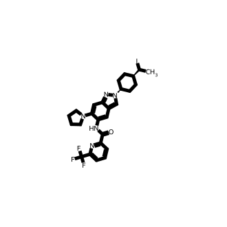 CC(I)[C@H]1CC[C@H](n2cc3cc(NC(=O)c4cccc(C(F)(F)F)n4)c(N4CCCC4)cc3n2)CC1